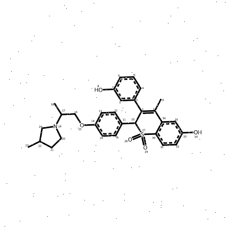 CC1=C(c2cccc(O)c2)C(c2ccc(OCC(C)N3CCC(C)C3)cc2)S(=O)(=O)c2ccc(O)cc21